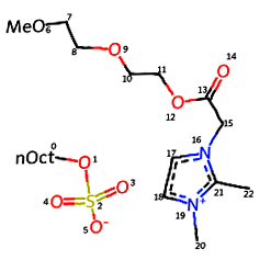 CCCCCCCCOS(=O)(=O)[O-].COCCOCCOC(=O)Cn1cc[n+](C)c1C